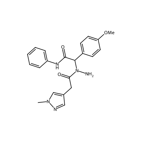 COc1ccc(C(C(=O)Nc2ccccc2)N(N)C(=O)Cc2cnn(C)c2)cc1